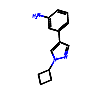 Nc1cccc(-c2cnn(C3CCC3)c2)c1